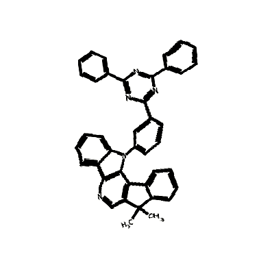 CC1(C)c2ccccc2-c2c1cnc1c3ccccc3n(-c3cccc(-c4nc(-c5ccccc5)nc(-c5ccccc5)n4)c3)c21